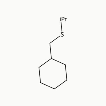 CC(C)SCC1CCCCC1